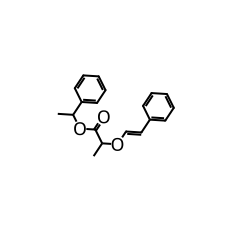 CC(OC=Cc1ccccc1)C(=O)OC(C)c1ccccc1